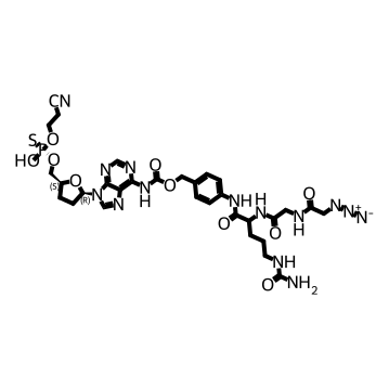 N#CCCOP(O)(=S)OC[C@@H]1CC[C@H](n2cnc3c(NC(=O)OCc4ccc(NC(=O)C(CCCNC(N)=O)NC(=O)CNC(=O)CN=[N+]=[N-])cc4)ncnc32)O1